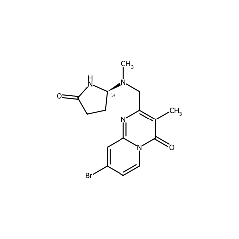 Cc1c(CN(C)[C@H]2CCC(=O)N2)nc2cc(Br)ccn2c1=O